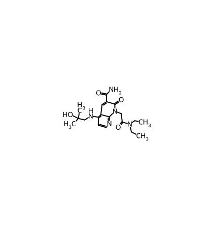 CCN(CC)C(=O)Cn1c(=O)c(C(N)=O)cc2c(NCC(C)(C)O)ccnc21